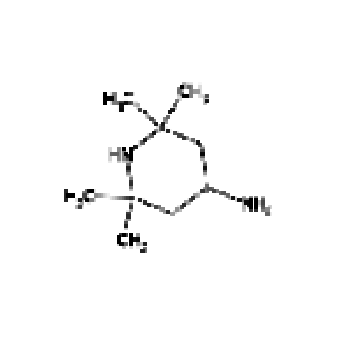 CC1(C)C[C](N)CC(C)(C)N1